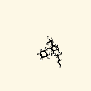 CCCc1nn2nc(C(C)(C)C)c(Sc3ccccc3)c2[nH]1